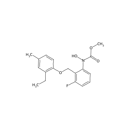 CCc1cc(C)ccc1OCc1c(F)cccc1N(O)C(=O)OC